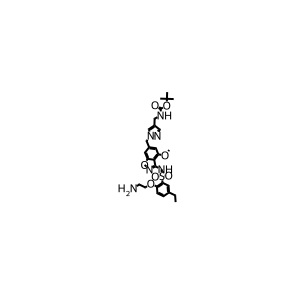 CCc1ccc(OCCN)c(S(=O)(=O)Nc2noc3cc(Cn4cc(CNC(=O)OC(C)(C)C)cn4)cc(OC)c23)c1